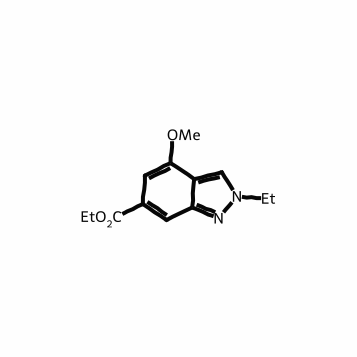 CCOC(=O)c1cc(OC)c2cn(CC)nc2c1